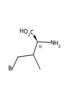 CC(CBr)[C@H](N)C(=O)O